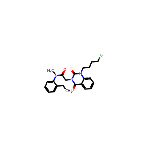 CCc1ccccc1N(C)C(=O)Cn1c(=O)c2ccccc2n(CCCCBr)c1=O